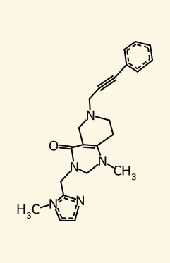 CN1CN(Cc2nccn2C)C(=O)C2=C1CCN(CC#Cc1ccccc1)C2